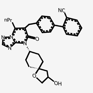 CCCc1c(Cc2ccc(-c3ccccc3C#N)cc2)c(=O)n([C@H]2CC[C@]3(CC2)CC(O)CO3)c2ncnn12